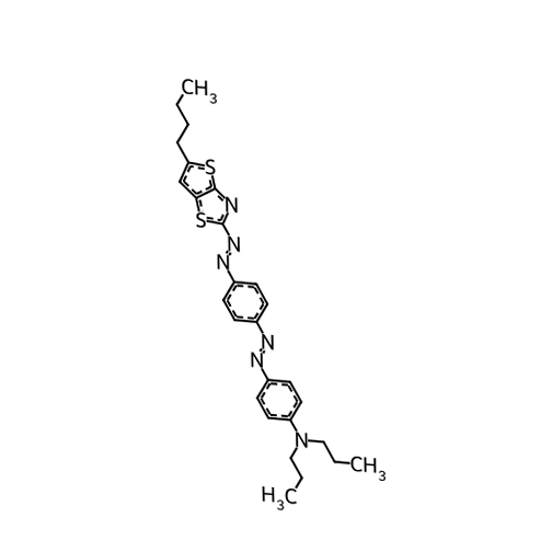 CCCCc1cc2sc(N=Nc3ccc(N=Nc4ccc(N(CCC)CCC)cc4)cc3)nc2s1